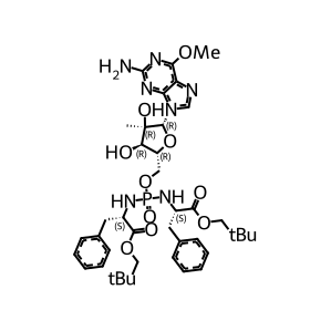 COc1nc(N)nc2c1ncn2[C@@H]1O[C@H](COP(=O)(N[C@@H](Cc2ccccc2)C(=O)OCC(C)(C)C)N[C@@H](Cc2ccccc2)C(=O)OCC(C)(C)C)[C@@H](O)[C@@]1(C)O